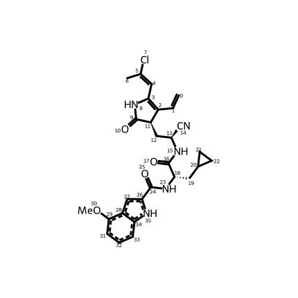 C=CC1=C(/C=C(\C)Cl)NC(=O)[C@@H]1C[C@@H](C#N)NC(=O)[C@H](CC1CC1)NC(=O)c1cc2c(OC)cccc2[nH]1